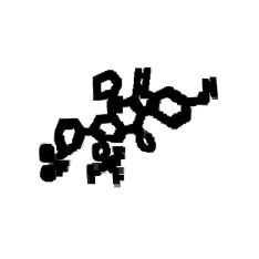 N#Cc1ccc2c(c1)[nH]c1c2c(=O)c2cc(OC(F)(F)F)c(-c3cccc(S(=O)(=O)F)c3)cc2n1C1CCCC1